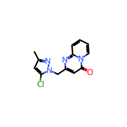 Cc1cc(Cl)n(Cc2cc(=O)n3ccccc3n2)n1